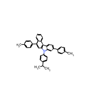 Cc1ccc(-c2ccc3c4c5ccccc5c(-c5ccc(C)cc5)cc4n(-c4ccc(C(C)C)cc4)c3c2)cc1